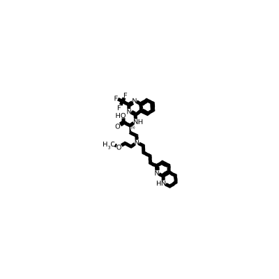 COCCN(CCCCc1ccc2c(n1)NCCC2)CC[C@H](Nc1nc(C(F)(F)F)nc2ccccc12)C(=O)O